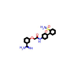 N=C(N)c1cccc(OCC(=O)Nc2ccc(-c3ccccc3S(N)(=O)=O)cc2)c1